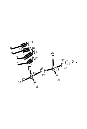 CC#N.CC#N.CC#N.CC#N.F[B-](F)(F)F.F[B-](F)(F)F.[Cu+2]